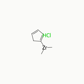 Cl.[CH3][Zr]([CH3])[C]1=CC=CC1